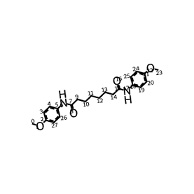 COc1ccc(NC(=O)CCCCCCC(=O)Nc2ccc(OC)cc2)cc1